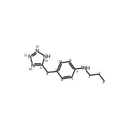 CCCNc1ccc(Cc2nnn[nH]2)cc1